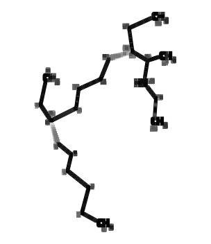 CCCCCC[C@H](CC)CCCC[C@H](CC)C(C)NCC